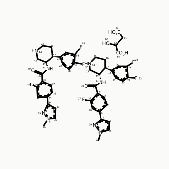 Cn1ccc(-c2ccc(C(=O)N[C@@H]3CNCC[C@H]3c3ccc(F)c(F)c3)c(F)c2)n1.Cn1ccc(-c2ccc(C(=O)N[C@@H]3CNCC[C@H]3c3ccc(F)c(F)c3)c(F)c2)n1.O=C(O)CC(O)C(=O)O